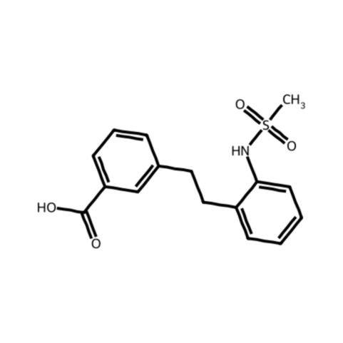 CS(=O)(=O)Nc1ccccc1CCc1cccc(C(=O)O)c1